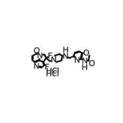 Cl.Cl.O=C1COc2ccc(CNC3CCN(CC4(F)Cn5c(=O)ccc6ncc(F)c4c65)CC3)nc2N1